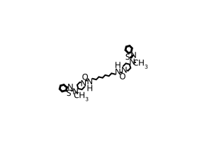 CN(c1nc2ccccc2s1)C1CCN(C(=O)NCCCCCCCCNC(=O)N2CCC(N(C)c3nc4ccccc4s3)CC2)CC1